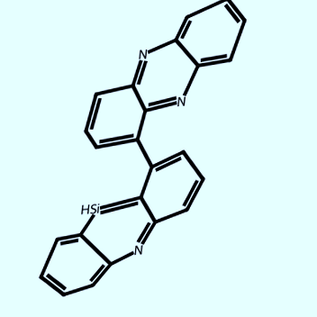 c1ccc2nc3c(-c4cccc5nc6ccccc6[siH]c45)cccc3nc2c1